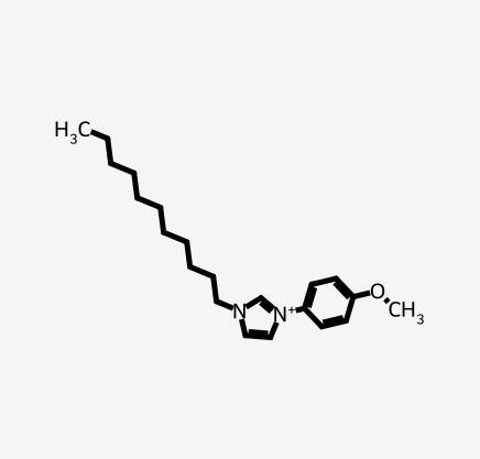 CCCCCCCCCCCn1cc[n+](-c2ccc(OC)cc2)c1